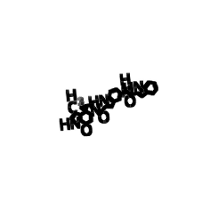 Cc1c[nH]c2c1C13CC1CN(C(=O)c1cc4cc(NC(=O)c5cc6ccccc6[nH]5)ccc4[nH]1)C3=CC2=O